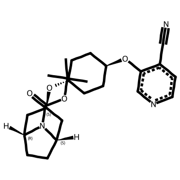 CC(C)(C)OC(=O)N1[C@@H]2CC[C@H]1C[C@H](O[C@H]1CC[C@H](Oc3cnccc3C#N)CC1)C2